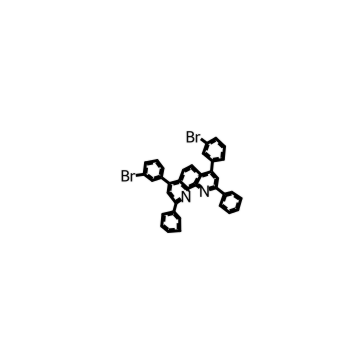 Brc1cccc(-c2cc(-c3ccccc3)nc3c2ccc2c(-c4cccc(Br)c4)cc(-c4ccccc4)nc23)c1